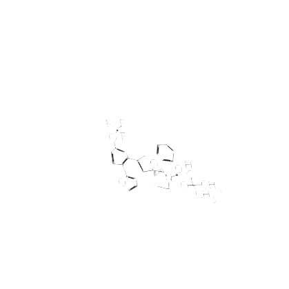 CC(C)(C)OC(=O)N1CCC[C@@]2(C=C(c3cc(OC(F)(F)F)ccc3-c3ccco3)CO2)[C@@H]1c1ccccc1